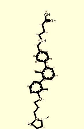 Cc1c(OCCCN2[C@H](C)CC[C@H]2C)cccc1-c1cccc(-c2ccc(CNCCCC(=O)O)cc2)c1C